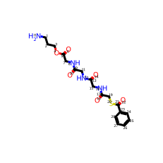 NCCCOC(=O)CNC(=O)CNC(=O)CNC(=O)CSC(=O)c1ccccc1